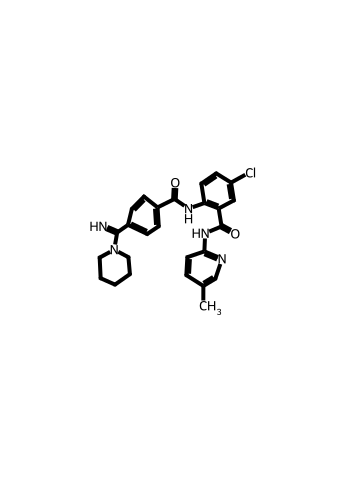 Cc1ccc(NC(=O)c2cc(Cl)ccc2NC(=O)c2ccc(C(=N)N3CCCCC3)cc2)nc1